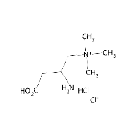 C[N+](C)(C)CC(N)CC(=O)O.Cl.[Cl-]